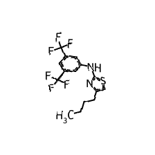 CCCCc1csc(Nc2cc(C(F)(F)F)cc(C(F)(F)F)c2)n1